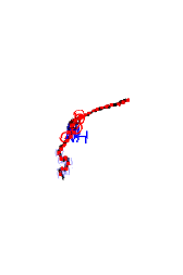 CCC=CCC=CCC=CCC=CCC=CCCCCCC(=O)OC[C@@H]1CC[C@@H](n2ccc(NC(=O)CCCCC/C=C\C/C=C\C/C=C\C/C=C\C/C=C\CC)nc2=O)O1